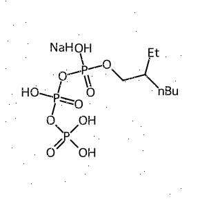 CCCCC(CC)COP(=O)(O)OP(=O)(O)OP(=O)(O)O.[NaH]